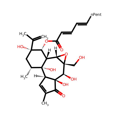 C=C(C)[C@]1(O)C[C@@H](C)[C@@]2(O)[C@H]([C@H]1OC(=O)/C=C/C=C/CCCCC)[C@@H]1O[C@]1(CO)[C@@H](O)[C@]1(O)C(=O)C(C)=C[C@H]12